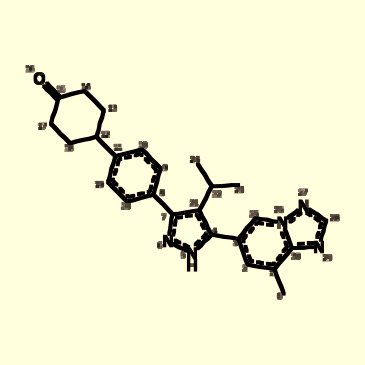 Cc1cc(-c2[nH]nc(-c3ccc(C4CCC(=O)CC4)cc3)c2C(C)C)cn2ncnc12